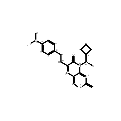 C=C(Cl)/N=C1\C(=C/C)N=C(NCc2ccc([S+](C)[O-])cc2)C(=O)N1[C@H](C)C1CCC1